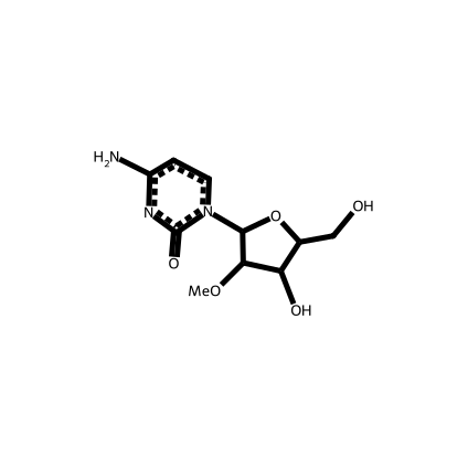 COC1C(O)C(CO)OC1n1ccc(N)nc1=O